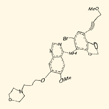 COCC#Cc1cc(Br)c(Nc2ncnc3cc(OCCCN4CCOCC4)c(OC)cc23)c2c1OCO2